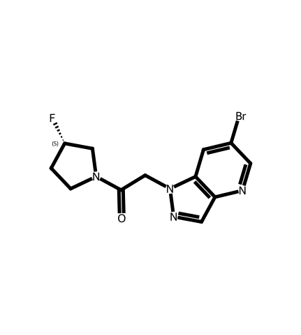 O=C(Cn1ncc2ncc(Br)cc21)N1CC[C@H](F)C1